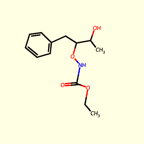 CCOC(=O)NOC(Cc1ccccc1)C(C)O